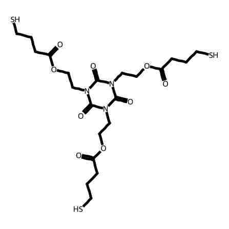 O=C(CCCS)OCCn1c(=O)n(CCOC(=O)CCCS)c(=O)n(CCOC(=O)CCCS)c1=O